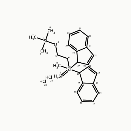 C[Si](C)(C)OC[CH2][Zr]([CH3])(=[SiH2])([CH]1C=Cc2ccccc21)[CH]1C=Cc2ccccc21.Cl.Cl